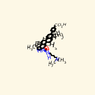 C=C(C)[C@@H]1CC[C@]2(NC(=O)NCCCCCN(C)C)CC[C@]3(C)[C@H](CC[C@@H]4[C@@]5(C)CC=C(c6ccc(C(=O)O)cc6)C(C)(C)[C@@H]5CC[C@]43C)[C@@H]12